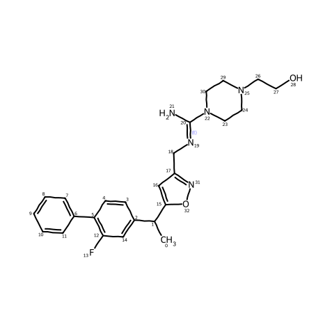 CC(c1ccc(-c2ccccc2)c(F)c1)c1cc(C/N=C(\N)N2CCN(CCO)CC2)no1